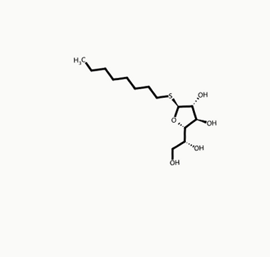 CCCCCCCCS[C@@H]1O[C@@H]([C@H](O)CO)[C@H](O)[C@H]1O